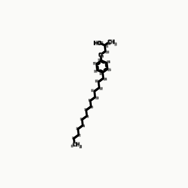 CCCCCCCCCCCCCCCc1ccc(OCC(C)O)cc1